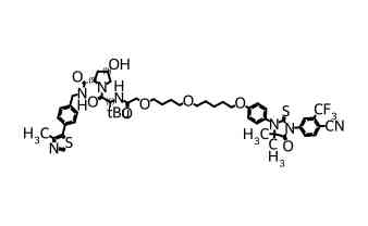 Cc1ncsc1-c1ccc(CNC(=O)[C@@H]2C[C@@H](O)CN2C(=O)[C@@H](NC(=O)COCCCCOCCCCCOc2ccc(N3C(=S)N(c4ccc(C#N)c(C(F)(F)F)c4)C(=O)C3(C)C)cc2)C(C)(C)C)cc1